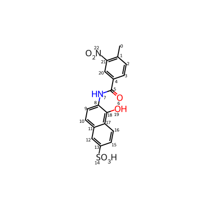 Cc1ccc(C(=O)Nc2ccc3cc(S(=O)(=O)O)ccc3c2O)cc1[N+](=O)[O-]